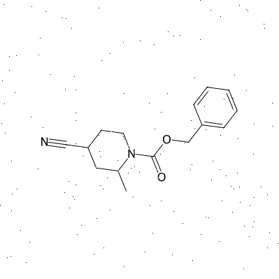 CC1CC(C#N)CCN1C(=O)OCc1ccccc1